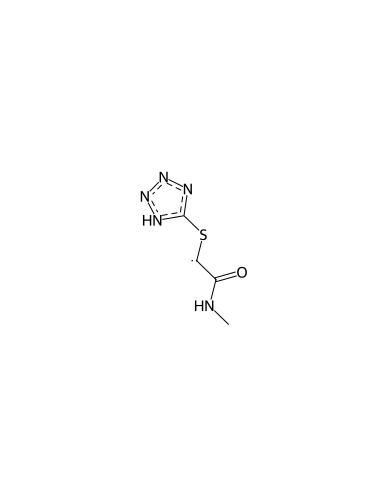 CNC(=O)[CH]Sc1nnn[nH]1